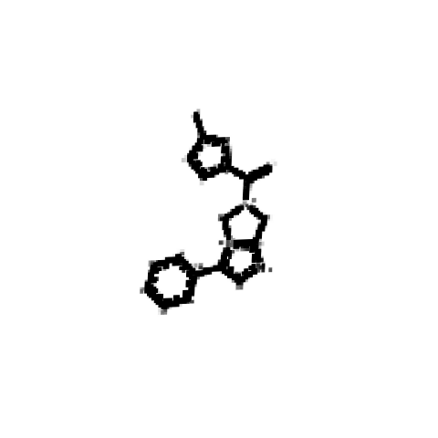 C=C(c1ccc(C)s1)N1Cc2ncc(-c3ccccc3)n2C1